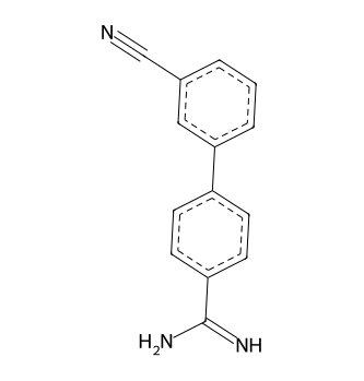 N#Cc1cccc(-c2ccc(C(=N)N)cc2)c1